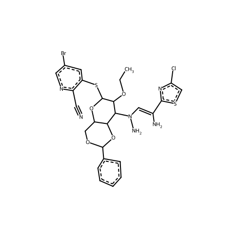 CCOC1C(Sc2cc(Br)cnc2C#N)OC2COC(c3ccccc3)OC2C1N(N)/C=C(\N)c1nc(Cl)cs1